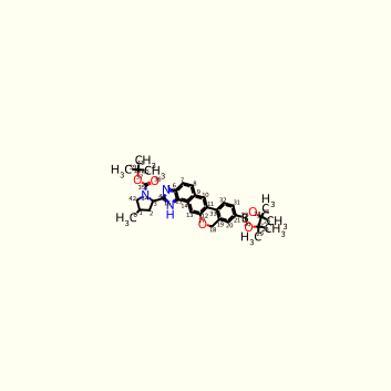 CC1CC(c2nc3ccc4cc5c(cc4c3[nH]2)OCc2cc(B3OC(C)(C)C(C)(C)O3)ccc2-5)N(C(=O)OC(C)(C)C)C1